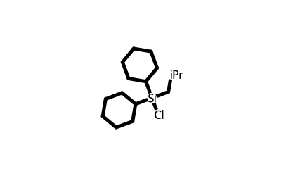 CC(C)C[Si](Cl)(C1CCCCC1)C1CCCCC1